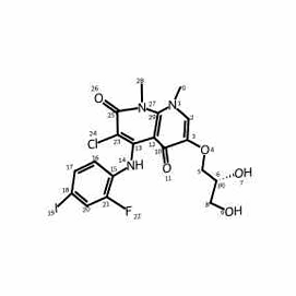 Cn1cc(OC[C@H](O)CO)c(=O)c2c(Nc3ccc(I)cc3F)c(Cl)c(=O)n(C)c21